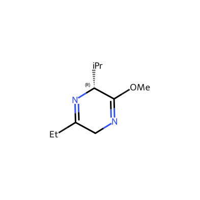 CCC1=N[C@H](C(C)C)C(OC)=NC1